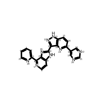 c1ccc(-c2nccc3[nH]c(-c4n[nH]c5ccc(-c6cncnc6)nc45)nc23)nc1